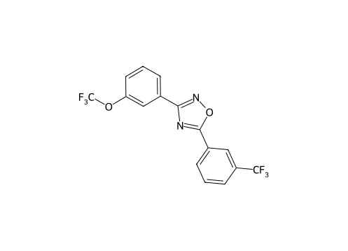 FC(F)(F)Oc1cccc(-c2noc(-c3cccc(C(F)(F)F)c3)n2)c1